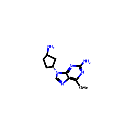 COc1nc(N)nc2c1ncn2[C@@H]1CCC(N)C1